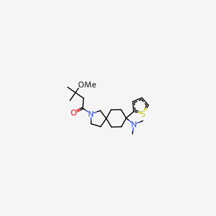 COC(C)(C)CC(=O)N1CCC2(CCC(c3cccs3)(N(C)C)CC2)C1